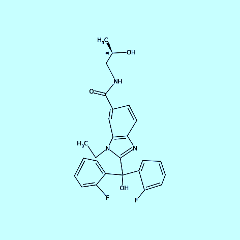 CCn1c(C(O)(c2ccccc2F)c2ccccc2F)nc2ccc(C(=O)NC[C@@H](C)O)cc21